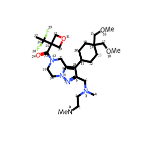 CNCCN(C)Cc1nn2c(c1C1CCC(COC)(COC)CC1)CN(C(=O)C1(C(C)(F)F)COC1)CC2